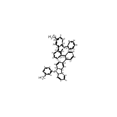 Cc1cccc(N2C3C=CC=CC3C3C=C(C4C=CC=CC4c4cccc5c6cc(C)ccc6n(-c6ccccc6)c45)C=CC32)c1